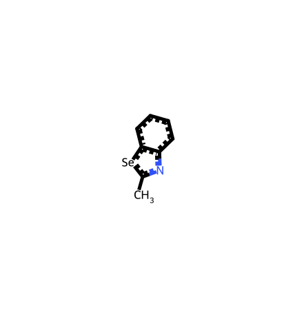 Cc1nc2ccccc2[se]1